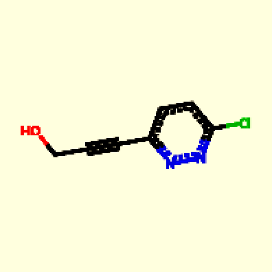 OCC#Cc1ccc(Cl)nn1